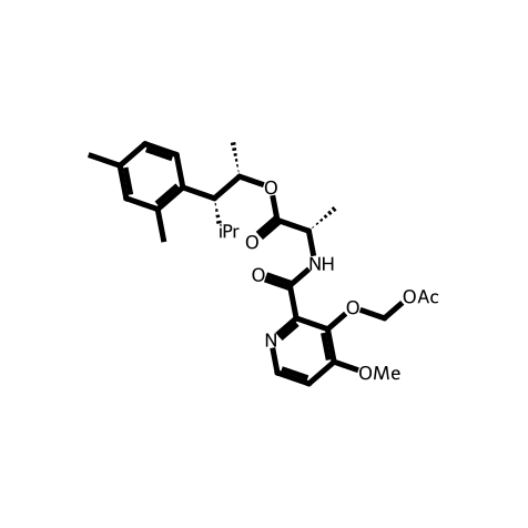 COc1ccnc(C(=O)N[C@@H](C)C(=O)O[C@@H](C)[C@@H](c2ccc(C)cc2C)C(C)C)c1OCOC(C)=O